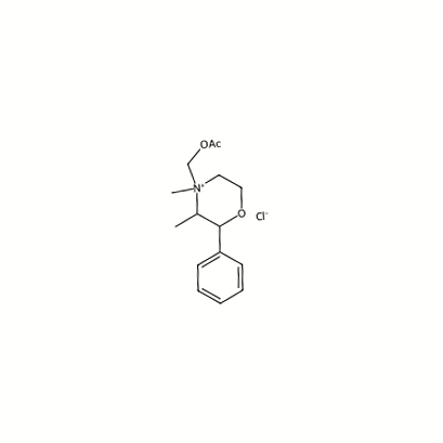 CC(=O)OC[N+]1(C)CCOC(c2ccccc2)C1C.[Cl-]